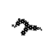 Cc1ccc(C(=O)c2ccc(Oc3ccc(N(c4ccc(-c5ccccc5)cc4)c4ccc(-c5ccc(C)cc5)cc4)cc3)cc2)cc1